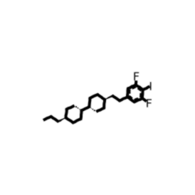 CCC[C@H]1CC[C@H]([C@H]2CC[C@H](CCc3cc(F)c(I)c(F)c3)CC2)CC1